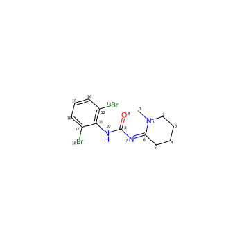 CN1CCCCC1=NC(=O)Nc1c(Br)cccc1Br